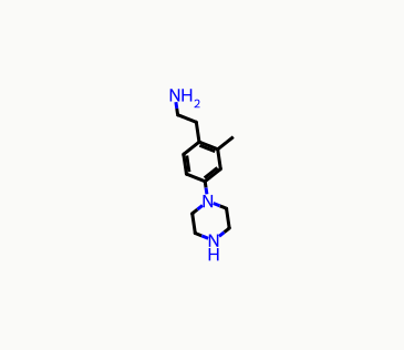 Cc1cc(N2CCNCC2)ccc1CCN